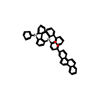 c1ccc(-c2ccccc2N(c2ccc(-c3ccc4c(ccc5c6ccccc6ccc45)c3)cc2)c2cccc3c2c2ccccc2n3-c2ccccc2)cc1